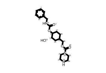 Cl.O=C(NCc1ccccc1)OC1CCC(COC(=O)N2CCNCC2)CC1